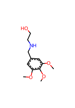 COc1cc(CNCCO)cc(OC)c1OC